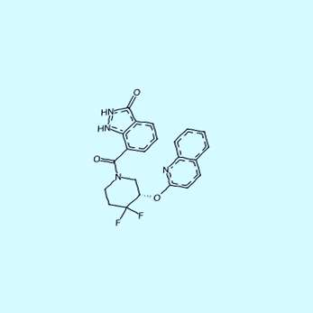 O=C(c1cccc2c(=O)[nH][nH]c12)N1CCC(F)(F)[C@@H](Oc2ccc3ccccc3n2)C1